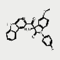 COc1ccc2c(c1)C(N)(C(=O)c1cc3c(cn1)[nH]c1ccccc13)C(=O)N2c1ccc(F)cc1